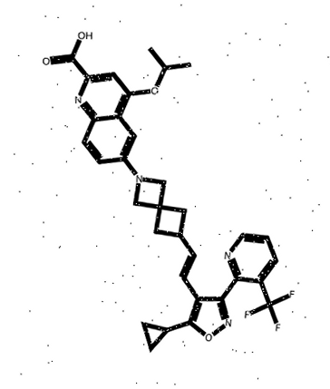 CC(C)Oc1cc(C(=O)O)nc2ccc(N3CC4(CC(/C=C/c5c(-c6ncccc6C(F)(F)F)noc5C5CC5)C4)C3)cc12